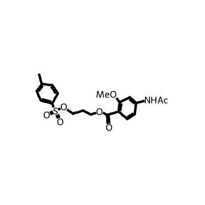 COc1cc(NC(C)=O)ccc1C(=O)OCCCOS(=O)(=O)c1ccc(C)cc1